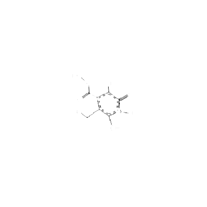 CCc1c(C(=O)OC)c(C)c(=O)n(C)c1C